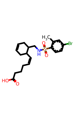 Cc1cc(Br)ccc1S(=O)(=O)NCC1CC=CCC1/C=C\CCCC(=O)O